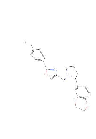 Cc1ccc(-c2nc(CN3CCCC3c3ccc4c(c3)OCCO4)co2)cc1